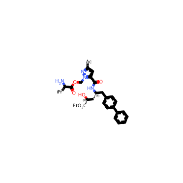 CCOC(=O)[C@H](O)C[C@@H](Cc1ccc(-c2ccccc2)cc1)NC(=O)c1cc(C(C)=O)nn1COC(=O)C(N)C(C)C